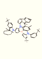 Cc1cc2c3c4c1C1(C)c5ccccc5-c5cccc(c51)N4c1cc(N4c5ccc(C(C)(C)C)cc5C5(C)CCCCC45C)ccc1B3c1ccc(C(C)(C)C)cc1N2c1cccc(C(C)(C)C)c1